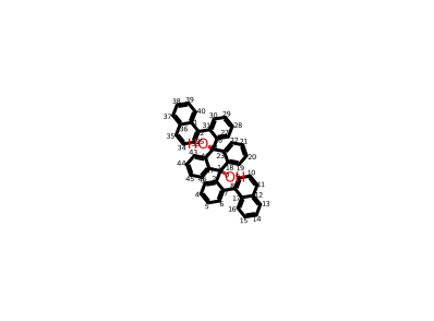 OC1(c2ccccc2-c2cccc3ccccc23)c2ccccc2C(O)(c2ccccc2-c2cccc3ccccc23)c2ccccc21